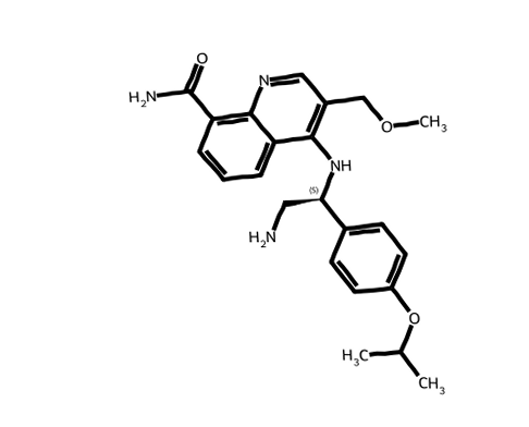 COCc1cnc2c(C(N)=O)cccc2c1N[C@H](CN)c1ccc(OC(C)C)cc1